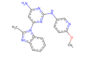 COc1ccc(Nc2nc(N)cc(-n3c(C)nc4ccccc43)n2)cn1